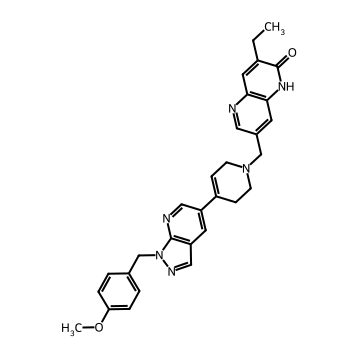 CCc1cc2ncc(CN3CC=C(c4cnc5c(cnn5Cc5ccc(OC)cc5)c4)CC3)cc2[nH]c1=O